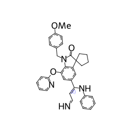 COc1ccc(CN2C(=O)C3(CCCC3)c3cc(/C(=C/C=N)Nc4ccccc4)cc(Oc4ccccn4)c32)cc1